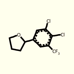 FC(F)(F)c1cc([C]2CCCO2)cc(Cl)c1Cl